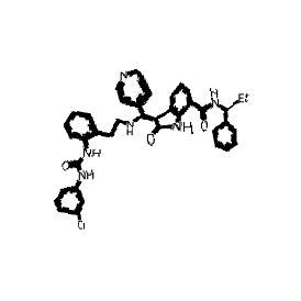 CC[C@H](NC(=O)c1cccc2c1NC(=O)/C2=C(\NCCc1ccccc1NC(=O)Nc1cccc(Cl)c1)c1ccncc1)c1ccccc1